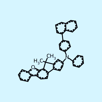 CC1(C)c2cc(N(c3ccccc3)c3ccc(-c4cccc5ccccc45)cc3)ccc2-c2ccc3c(oc4ccccc43)c21